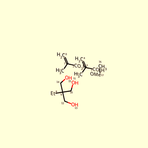 C=C(C)C(=O)O.C=C(C)C(=O)O.CCC(CO)(CO)CO.COC